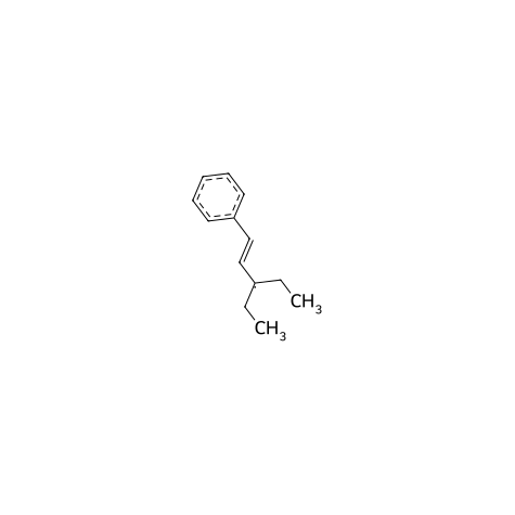 CC[C](C=Cc1ccccc1)CC